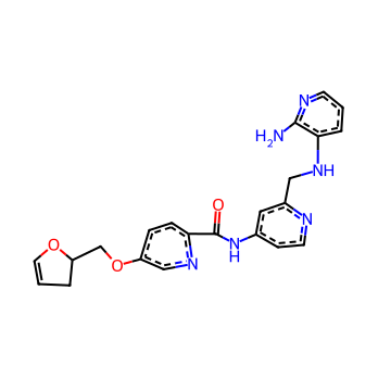 Nc1ncccc1NCc1cc(NC(=O)c2ccc(OCC3CC=CO3)cn2)ccn1